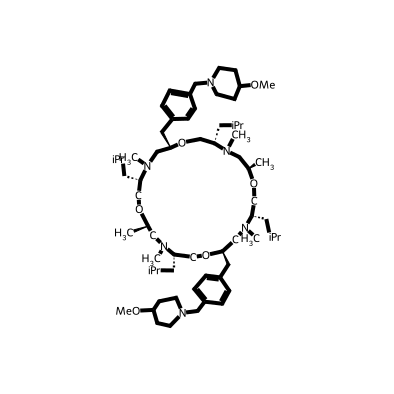 COC1CCN(Cc2ccc(C[C@@H]3CN(C)[C@@H](CC(C)C)CO[C@H](C)CN(C)[C@@H](CC(C)C)CO[C@H](Cc4ccc(CN5CCC(OC)CC5)cc4)CN(C)[C@@H](CC(C)C)CO[C@H](C)CN(C)[C@@H](CC(C)C)CO3)cc2)CC1